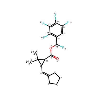 CC1(C)C(C=C2CCCC2)C1C(=O)OC(F)c1cc(F)c(F)c(F)c1F